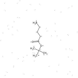 BCCCC(=O)OC(C)(C)C